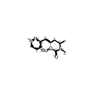 CC(CC=Cc1cccnn1)N(C)C(=O)OC(C)(C)C